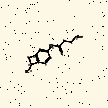 CCCCCCCCCCCC(=O)Nc1ccc2c(c1)CC2C#N